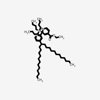 CCCCCCCCCCCCC(CCCCCCCCCCCC)c1ccnc([C]2([Sn]([CH2]CCC)([CH2]CCC)[CH2]CCC)C=C(C(=O)OCC)C=CN2)c1